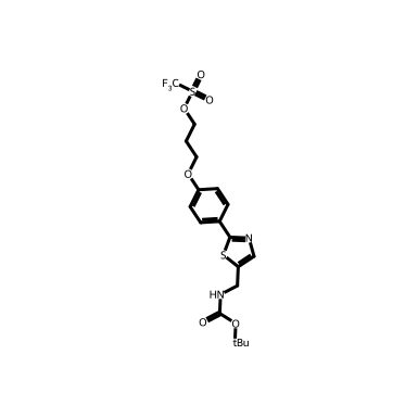 CC(C)(C)OC(=O)NCc1cnc(-c2ccc(OCCCOS(=O)(=O)C(F)(F)F)cc2)s1